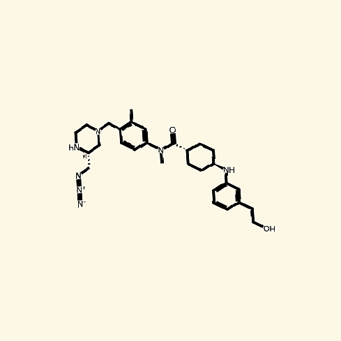 Cc1cc(N(C)C(=O)[C@H]2CC[C@H](Nc3cccc(CCO)c3)CC2)ccc1CN1CCN[C@@H](CN=[N+]=[N-])C1